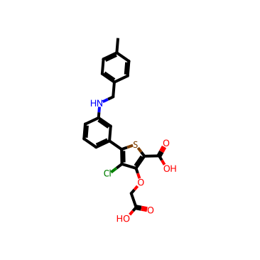 Cc1ccc(CNc2cccc(-c3sc(C(=O)O)c(OCC(=O)O)c3Cl)c2)cc1